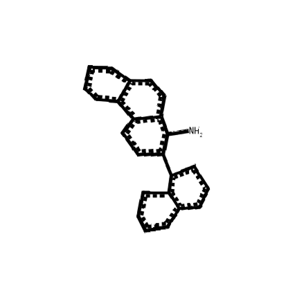 Nc1c(-c2cccc3ccccc23)ccc2c1ccc1ccccc12